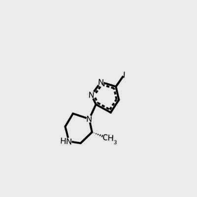 C[C@@H]1CNCCN1c1ccc(I)nn1